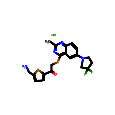 Cc1nc(SCC(=O)c2ccc(CN)s2)c2cc(N3CCC(F)(F)C3)ccc2n1.Cl